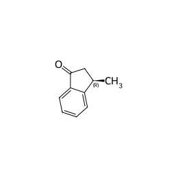 C[C@@H]1CC(=O)c2ccccc21